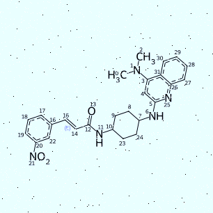 CN(C)c1cc(NC2CCC(NC(=O)/C=C/c3cccc([N+](=O)[O-])c3)CC2)nc2ccccc12